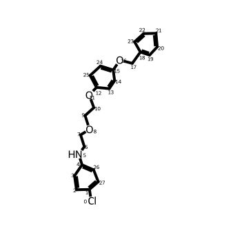 Clc1ccc(NCCOCCOc2ccc(OCc3ccccc3)cc2)cc1